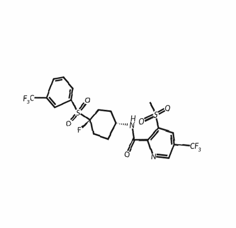 CS(=O)(=O)c1cc(C(F)(F)F)cnc1C(=O)N[C@H]1CC[C@@](F)(S(=O)(=O)c2cccc(C(F)(F)F)c2)CC1